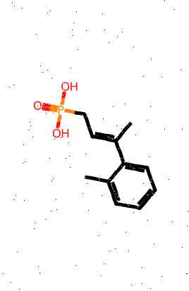 CC(=CCP(=O)(O)O)c1ccccc1C